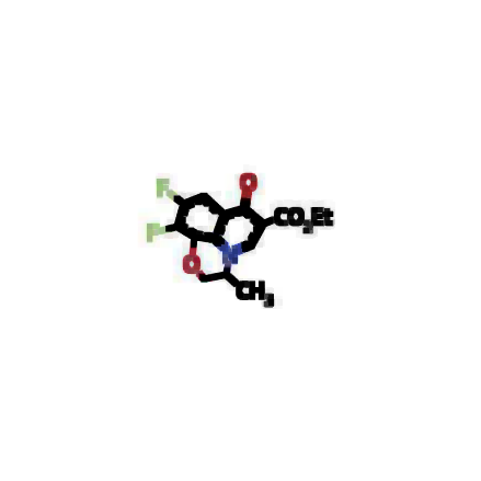 CCOC(=O)c1cn2c3c(c(F)c(F)cc3c1=O)OCC2C